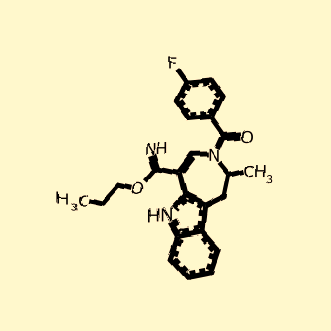 CCCOC(=N)C1=CN(C(=O)c2ccc(F)cc2)C(C)Cc2c1[nH]c1ccccc21